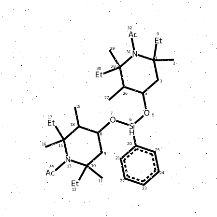 CCC1(C)CC(O[SiH](OC2CC(C)(CC)N(C(C)=O)C(C)(CC)C2C)c2ccccc2)C(C)C(C)(CC)N1C(C)=O